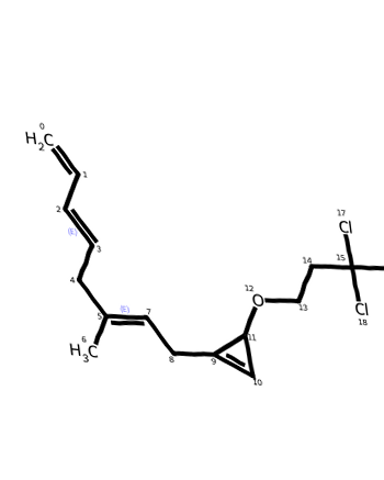 C=C/C=C/C/C(C)=C/CC1=CC1OCCC(Cl)(Cl)Cl